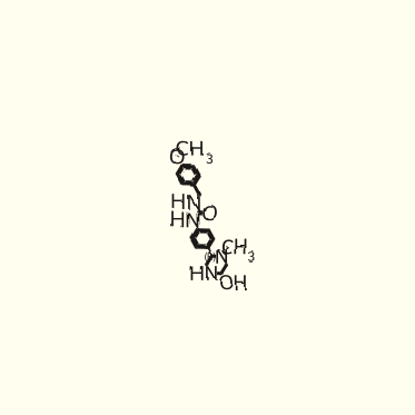 COc1ccc(CNC(=O)Nc2ccc([C@@H]3CNC(O)CN3C)cc2)cc1